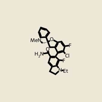 CCN1CCc2cc(C(N)=O)c(-c3c(Cl)c(F)cc4c3C[C@@](CNC)(c3ccccc3)O4)c(F)c21